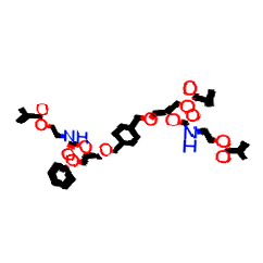 C=C(C)C(=O)OCCNC(=O)OC(COCC1CCC(COCC(COc2ccccc2)OC(=O)NCCOC(=O)C(=C)C)CC1)COC(=O)C(=C)C